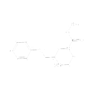 CC(C)(C)OC(=O)N1CCNC(CSc2ccccc2)C1